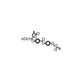 C=CC(=O)OCOc1ccc(OC(=O)c2ccc(OC(CCCCCCCC)C3CC(=C)C(=O)O3)cc2)cc1